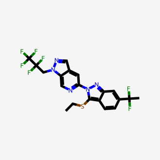 CCSc1c2ccc(C(C)(F)F)cc2nn1-c1cc2cnn(CC(F)(F)C(F)(F)F)c2cn1